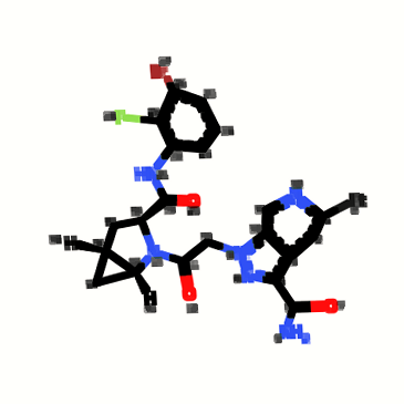 CCc1cc2c(C(N)=O)nn(CC(=O)N3[C@@H]4C[C@@H]4C[C@H]3C(=O)Nc3cccc(Br)c3F)c2cn1